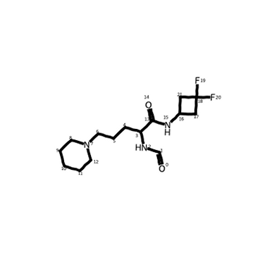 O=CNC(CCCN1CCCCC1)C(=O)NC1CC(F)(F)C1